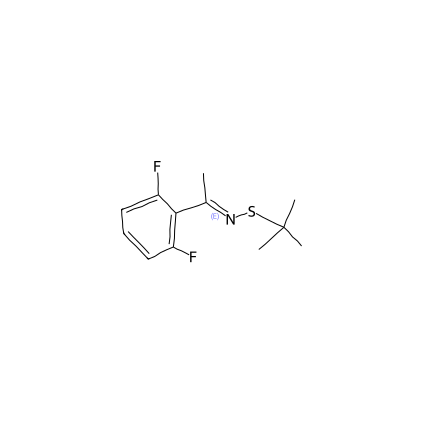 C/C(=N\SC(C)(C)C)c1c(F)cccc1F